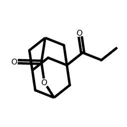 CCC(=O)C12CC3CC(C1)OC(=O)C(C3)C2